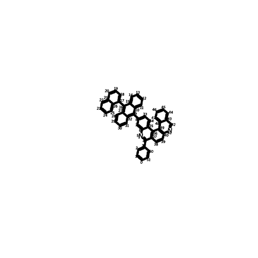 c1ccc(-c2nc3cc(-c4c5ccccc5c(-c5cccc6ccccc56)c5ccccc45)ccc3c3c2ccc2ncc4ccccc4c23)cc1